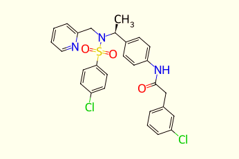 C[C@@H](c1ccc(NC(=O)Cc2cccc(Cl)c2)cc1)N(Cc1ccccn1)S(=O)(=O)c1ccc(Cl)cc1